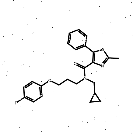 Cc1nc(C(=O)N(CCCOc2ccc(F)cc2)CC2CC2)c(-c2ccccc2)s1